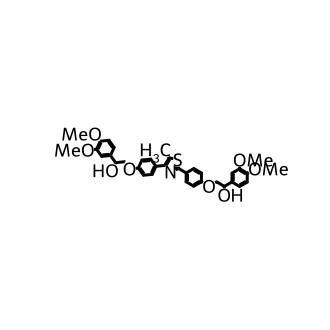 COc1ccc(C(O)COc2ccc(-c3nc(-c4ccc(OCC(O)c5ccc(OC)c(OC)c5)cc4)c(C)s3)cc2)cc1OC